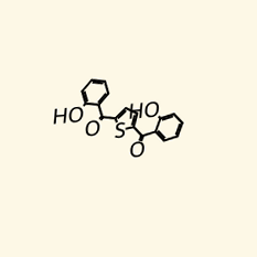 O=C(c1ccc(C(=O)c2ccccc2O)s1)c1ccccc1O